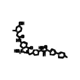 Cc1ccc(C2=CC=C(C3NC(C4CCC(CN(CC(=O)O)C(=O)C5C=CC(NC(=O)CC6CCC(O)CC6C)CC5)CC4)NO3)CC2)cc1